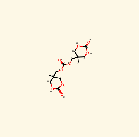 CC1(COC(=O)OCC2(C)COC(=O)OC2)COC(=O)OC1